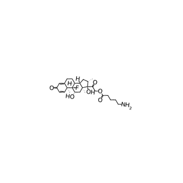 C[C@H]1C[C@H]2[C@@H]3CCC4=CC(=O)C=C[C@]4(C)[C@@]3(F)[C@@H](O)C[C@]2(C)[C@@]1(O)C(=O)COC(=O)CCCCN